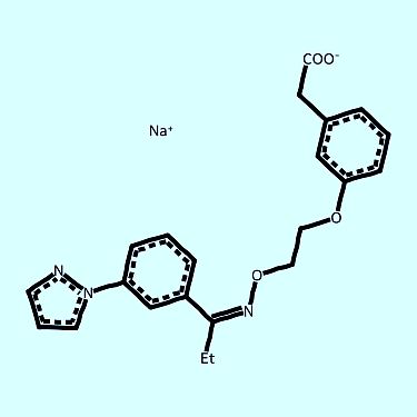 CCC(=NOCCOc1cccc(CC(=O)[O-])c1)c1cccc(-n2cccn2)c1.[Na+]